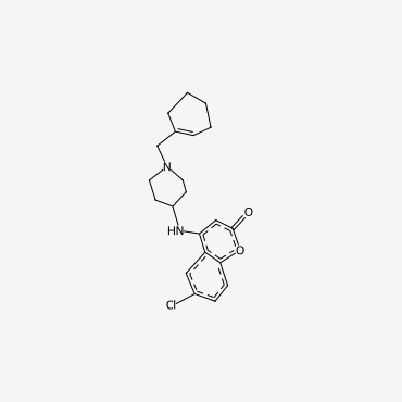 O=c1cc(NC2CCN(CC3=CCCCC3)CC2)c2cc(Cl)ccc2o1